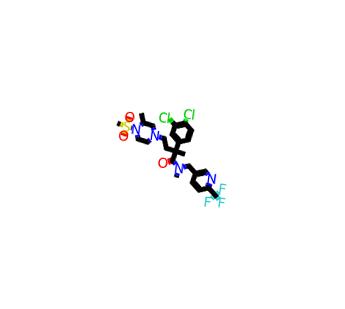 CC1CN(CCC(C)(C(=O)N(C)Cc2ccc(C(F)(F)F)nc2)c2ccc(Cl)c(Cl)c2)CCN1S(C)(=O)=O